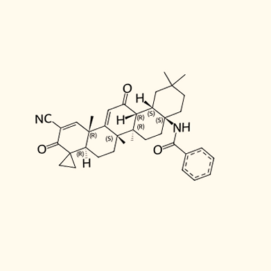 CC1(C)CC[C@]2(NC(=O)c3ccccc3)CC[C@]3(C)[C@H](C(=O)C=C4[C@@]5(C)C=C(C#N)C(=O)C6(CC6)[C@@H]5CC[C@]43C)[C@@H]2C1